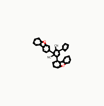 N#Cc1c(-c2ccccc2)cc(-c2cccc3oc4ccccc4c23)c(C#N)c1-c1ccc2c(c1)oc1ccccc12